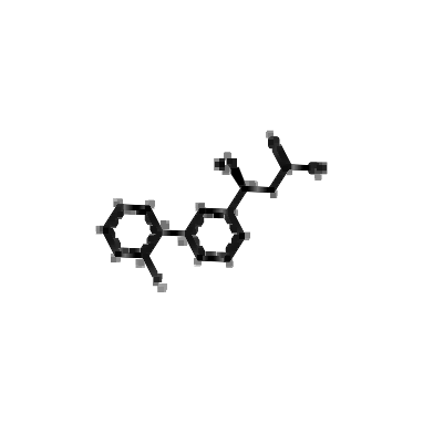 N[C@@H](CC(=O)O)c1cccc(-c2ccccc2F)c1